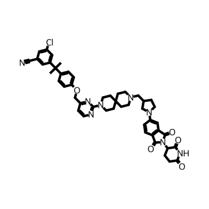 CC(C)(c1ccc(OCc2ccnc(N3CCC4(CCN(CC5CCN(c6ccc7c(c6)C(=O)N(C6CCC(=O)NC6=O)C7=O)C5)CC4)CC3)n2)cc1)c1cc(Cl)cc(C#N)c1